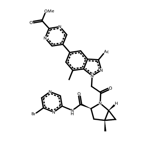 COC(=O)c1ncc(-c2cc(C)c3c(c2)c(C(C)=O)nn3CC(=O)N2[C@H](C(=O)Nc3cncc(Br)n3)C[C@@]3(C)C[C@@H]23)cn1